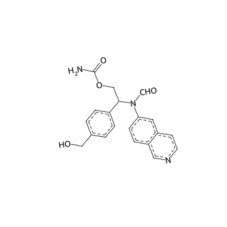 NC(=O)OCC(c1ccc(CO)cc1)N(C=O)c1ccc2cnccc2c1